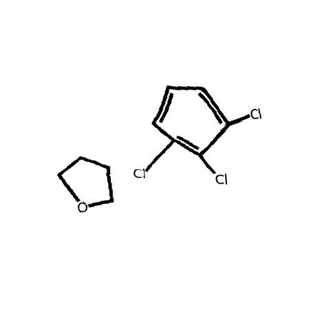 C1CCOC1.Clc1cccc(Cl)c1Cl